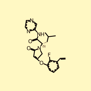 C=Cc1cccc(OC2=CC(=O)N([C@@H](CC(C)C)C(=O)Nc3cnccn3)C2)c1F